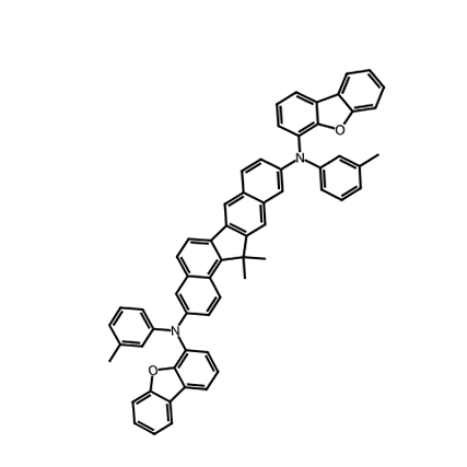 Cc1cccc(N(c2ccc3cc4c(cc3c2)C(C)(C)c2c-4ccc3cc(N(c4cccc(C)c4)c4cccc5c4oc4ccccc45)ccc23)c2cccc3c2oc2ccccc23)c1